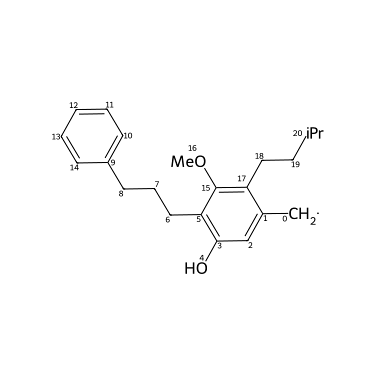 [CH2]c1cc(O)c(CCCc2ccccc2)c(OC)c1CCC(C)C